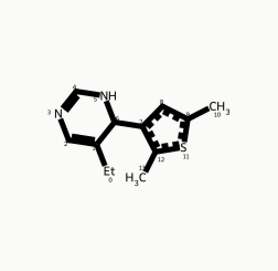 CCC1=CN=CNC1c1cc(C)sc1C